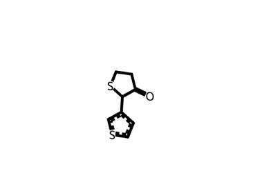 O=C1CCSC1c1ccsc1